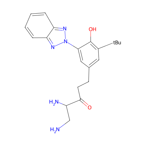 CC(C)(C)c1cc(CCC(=O)C(N)CN)cc(-n2nc3ccccc3n2)c1O